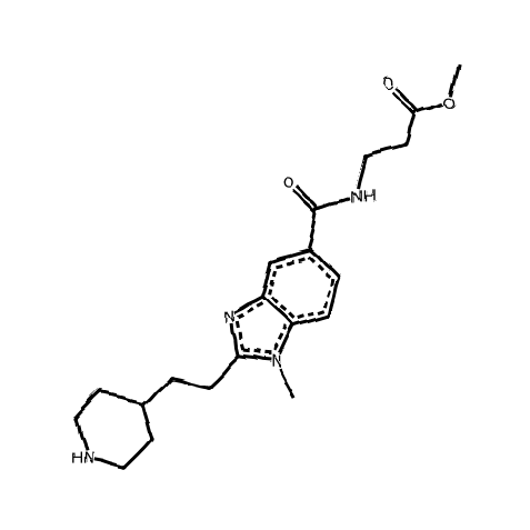 COC(=O)CCNC(=O)c1ccc2c(c1)nc(CCC1CCNCC1)n2C